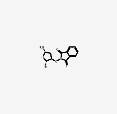 B[C@H]1CC(ON2C(=O)c3ccccc3C2=O)[C@@H](CC)O1